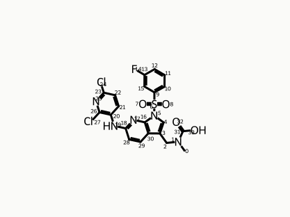 CN(Cc1cn(S(=O)(=O)c2cccc(F)c2)c2nc(Nc3ccc(Cl)nc3Cl)ccc12)C(=O)O